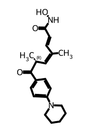 CC(C=CC(=O)NO)=C[C@@H](C)C(=O)c1ccc(N2CCCCC2)cc1